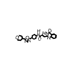 O=C(CCc1nc2ccccc2c(=O)[nH]1)NC1CCC(c2nnc(C3CCOCC3)o2)CC1